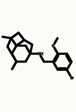 COc1ccc(Br)cc1CNC12CC3CC4(C)CC(C)(C1)CC34C2